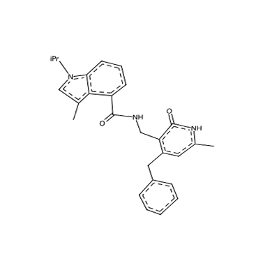 Cc1cc(Cc2ccccc2)c(CNC(=O)c2cccc3c2c(C)cn3C(C)C)c(=O)[nH]1